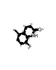 Cc1ccc(F)c2[nH]c(=O)ccc12